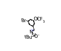 CC(C)(C)[S+]([O-])/N=C/c1cc(Br)cc(OC(F)(F)F)c1